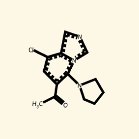 CC(=O)c1cc(Cl)c2cncn2c1N1CCCC1